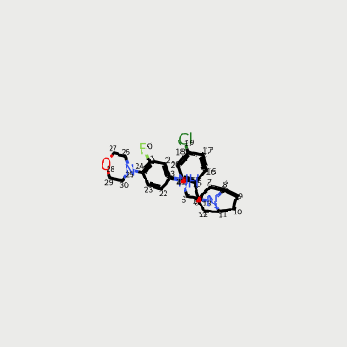 Fc1cc(NCC2CC3CCC(C2)N3Cc2ccc(Cl)cc2)ccc1N1CCOCC1